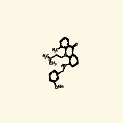 COc1cccc(CNc2cccc3c(=O)c4cccc(C)c4n(CCN(C)C)c23)c1